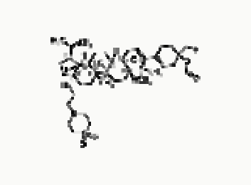 C=C(C)[C@@H]1CC[C@]2(NCCN3CCS(=O)(=O)CC3)CC[C@]3(C)[C@H](CC[C@@H]4[C@@]5(C)CC=C(C6=CCC(CF)(OC=O)CC6)C(C)(C)[C@@H]5CC[C@]43C)[C@@H]12